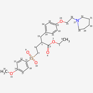 CCOC(=O)C(CCS(=O)(=O)c1ccc(OC)cc1)Cc1ccc(OCCN2CCCCC2)cc1